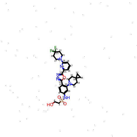 O=S(=O)(CCO)Nc1ccc(-c2nnc(-c3cccc(N4CCC(F)(F)CC4)n3)o2)c(N2CCC3(CC2)CC3)c1